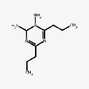 CCCC1=NC(N)N(N)C(CCC)=N1